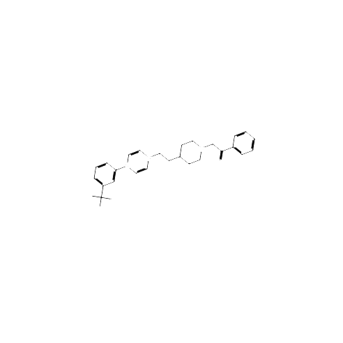 O=C(CN1CCC(CCN2C=CN(c3cccc(C(F)(F)F)c3)C=C2)CC1)c1ccccc1